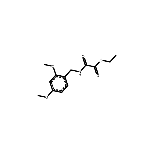 CCOC(=O)C(=O)NCc1ccc(OC)cc1OC